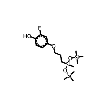 C[Si](C)(C)O[Si](C)(CCCOc1ccc(O)c(F)c1)O[Si](C)(C)C